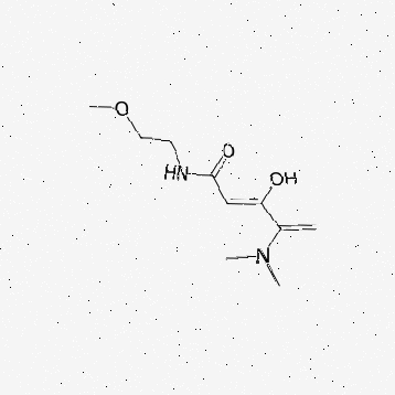 C=C(/C(O)=C/C(=O)NCCOC)N(C)C